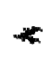 COC(=O)Nc1nc(NCc2cc(C)on2)c2c(cnn2Cc2ccc(C(=O)OC)cc2OC)n1